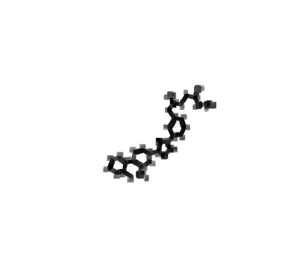 CCN(CCC(=O)OC(C)(C)C)Cc1cccc(-c2noc(-c3ccc(-c4ccccc4C)c(C(F)(F)F)c3)n2)c1